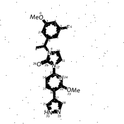 COc1cc(F)cc(C(C)n2ccn(-c3ccc(-c4cn[nH]c4)c(OC)n3)c2=O)c1